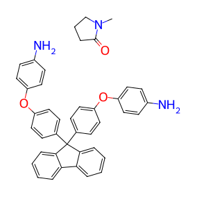 CN1CCCC1=O.Nc1ccc(Oc2ccc(C3(c4ccc(Oc5ccc(N)cc5)cc4)c4ccccc4-c4ccccc43)cc2)cc1